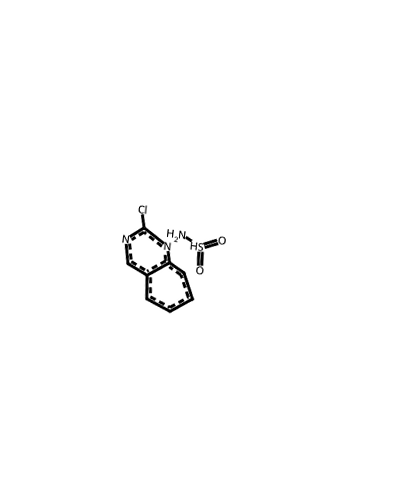 Clc1ncc2ccccc2n1.N[SH](=O)=O